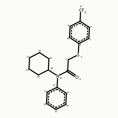 O=C(CSc1ccc(C(F)(F)F)cc1)N(c1ccccc1)C1CCCCC1